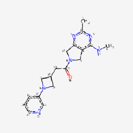 CNc1nc(C)nc2c1CN(C(=O)CC1CN(c3cccnc3)C1)C2